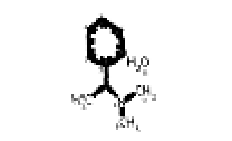 CC(c1ccccc1)N(C)C.O